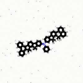 CC1(C)c2cc(N(c3ccccc3)c3ccc4c(c3)C(C)(C)c3c-4ccc4c3C(C)(C)c3cccc5cccc-4c35)ccc2-c2ccc3c(c21)C(C)(C)c1c-3c2ccccc2c2ccccc12